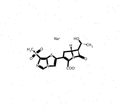 C[C@@H](O)[C@H]1C(=O)N2C(C(=O)[O-])=C(c3cn4cnc(S(C)(=O)=O)c4s3)C[C@H]12.[Na+]